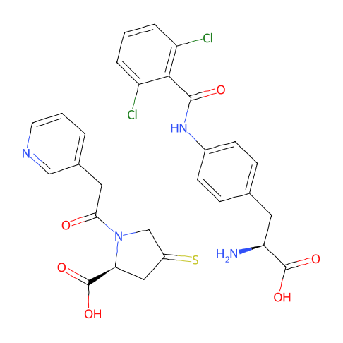 N[C@@H](Cc1ccc(NC(=O)c2c(Cl)cccc2Cl)cc1)C(=O)O.O=C(O)[C@@H]1CC(=S)CN1C(=O)Cc1cccnc1